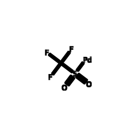 O=[S](=O)([Pd])C(F)(F)F